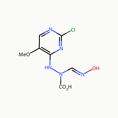 COc1cnc(Cl)nc1NN(C=NO)C(=O)O